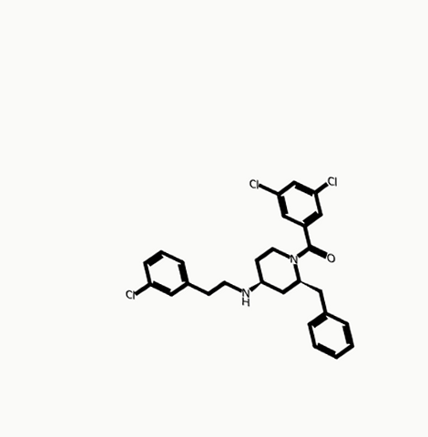 O=C(c1cc(Cl)cc(Cl)c1)N1CC[C@H](NCCc2cccc(Cl)c2)C[C@@H]1Cc1ccccc1